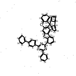 c1ccc(-c2ccc(-c3nc(-c4ccccc4)nc(-c4cccc5c4sc4cc6c(cc45)C4(c5ccccc5O6)c5ccccc5-c5ccccc54)n3)cc2)cc1